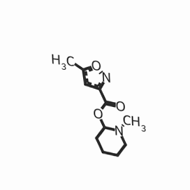 Cc1cc(C(=O)OC2CCCCN2C)no1